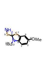 COc1ccc2c(c1)SC(SN)N2C(C)(C)C